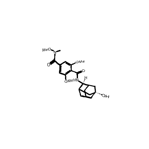 COc1cc(C(=O)N(C)OC)cc(OC)c1C(=O)N[C@H]1C2CC3CC1C[C@](O)(C3)C2